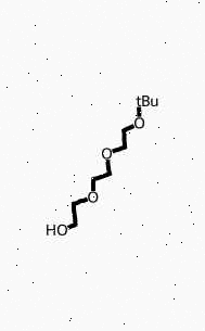 CC(C)(C)OCCOCCOCCO